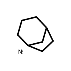 C1CC2CCC(C1)C2.[N]